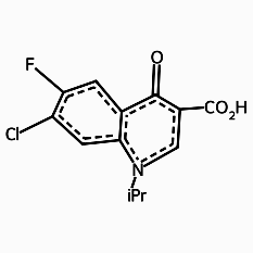 CC(C)n1cc(C(=O)O)c(=O)c2cc(F)c(Cl)cc21